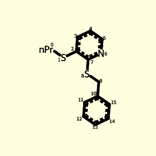 CCCSc1cccnc1SCc1ccccc1